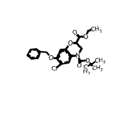 CCOC(=O)C1CN(C(=O)OC(C)(C)C)c2cc(Cl)c(OCc3ccccc3)cc2O1